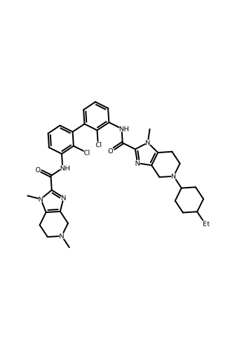 CCC1CCC(N2CCc3c(nc(C(=O)Nc4cccc(-c5cccc(NC(=O)c6nc7c(n6C)CCN(C)C7)c5Cl)c4Cl)n3C)C2)CC1